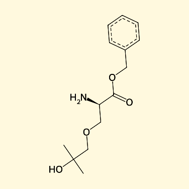 CC(C)(O)COC[C@@H](N)C(=O)OCc1ccccc1